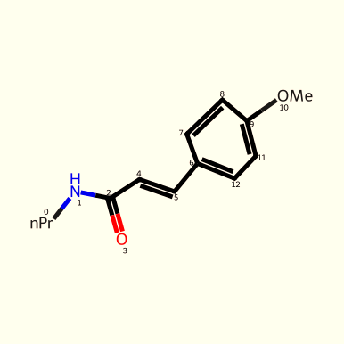 [CH2]CCNC(=O)C=Cc1ccc(OC)cc1